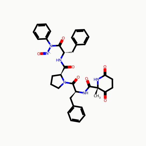 C[C@@]1(C(=O)N[C@@H](Cc2ccccc2)C(=O)N2CCC[C@H]2C(=O)N[C@@H](Cc2ccccc2)C(=O)N([N+]=O)c2ccccc2)NC(=O)CCC1=O